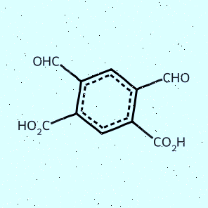 O=Cc1cc(C=O)c(C(=O)O)cc1C(=O)O